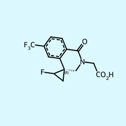 O=C(O)CN1C[C@@]2(CC2F)c2cc(C(F)(F)F)ccc2C1=O